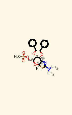 CN(C)C1=N[C@@H]2[C@@H](OCc3ccccc3)[C@@H](OCc3ccccc3)[C@@H](COS(C)(=O)=O)O[C@@H]2S1